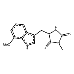 COc1cccc2c(CC3NC(=S)N(C)C3=O)c[nH]c12